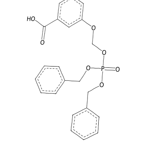 O=C(O)c1cccc(OCOP(=O)(OCc2ccccc2)OCc2ccccc2)c1